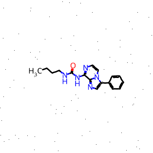 CCCCNC(=O)Nc1nccn2c(-c3ccccc3)cnc12